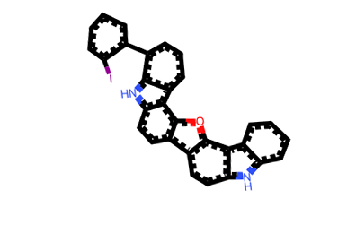 Ic1ccccc1-c1cccc2c1[nH]c1ccc3c4ccc5[nH]c6ccccc6c5c4oc3c12